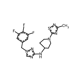 Cc1nsc(N2CCC(Nc3ncn(Cc4cc(F)c(F)c(F)c4)n3)CC2)n1